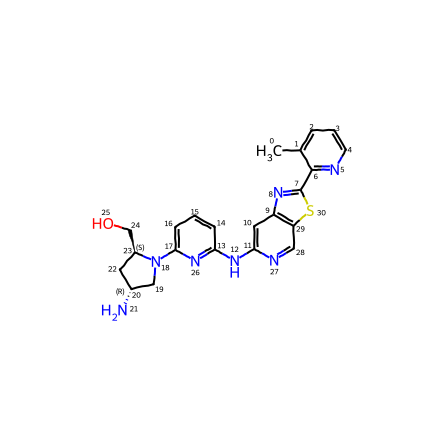 Cc1cccnc1-c1nc2cc(Nc3cccc(N4C[C@H](N)C[C@H]4CO)n3)ncc2s1